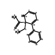 NCC1(C(N)=O)NC=CC=C1c1ccccc1